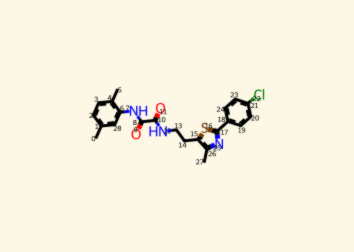 Cc1ccc(C)c(NC(=O)C(=O)NCCc2sc(-c3ccc(Cl)cc3)nc2C)c1